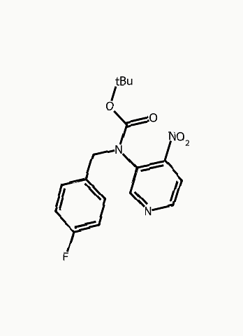 CC(C)(C)OC(=O)N(Cc1ccc(F)cc1)c1cnccc1[N+](=O)[O-]